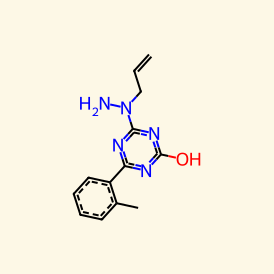 C=CCN(N)c1nc(O)nc(-c2ccccc2C)n1